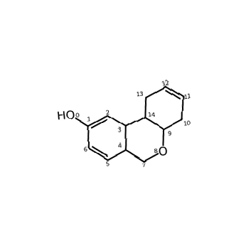 OC1=CC2C(C=C1)COC1CC=CCC12